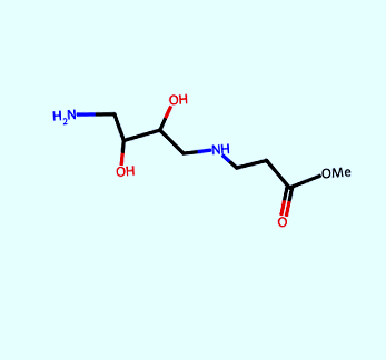 COC(=O)CCNCC(O)C(O)CN